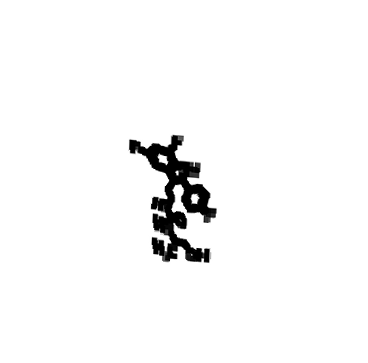 C[C@H](CO)NC(=O)NCCc1c(-c2ccc(F)cc2)[nH]c2c(F)cc(F)cc12